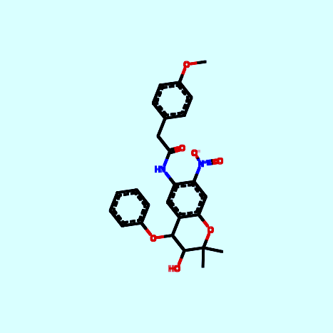 COc1ccc(CC(=O)Nc2cc3c(cc2[N+](=O)[O-])OC(C)(C)C(O)C3Oc2ccccc2)cc1